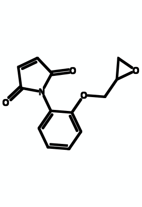 O=C1C=CC(=O)N1c1ccccc1OCC1CO1